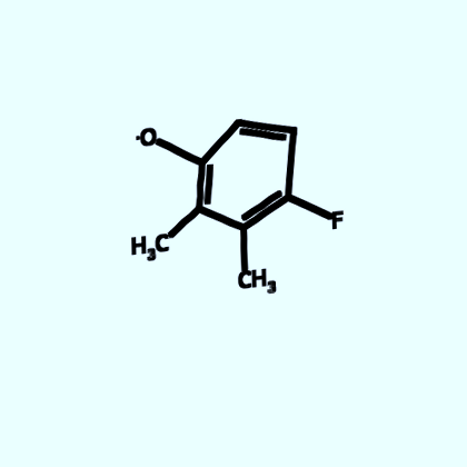 Cc1c([O])ccc(F)c1C